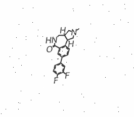 CN1C[C@H]2CNC(=O)c3cc(-c4ccc(F)c(F)c4)ccc3[C@@H]2C1